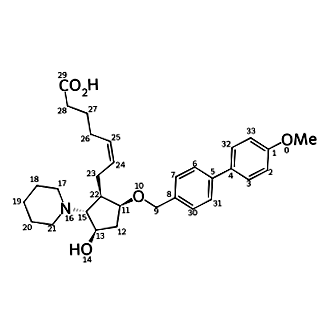 COc1ccc(-c2ccc(CO[C@H]3C[C@@H](O)[C@H](N4CCCCC4)[C@H]3C/C=C\CCCC(=O)O)cc2)cc1